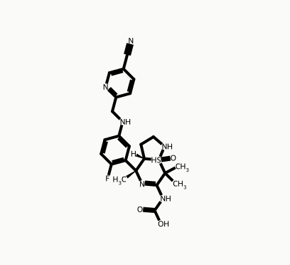 CC1(C)C(NC(=O)O)=N[C@](C)(c2cc(NCc3ccc(C#N)cn3)ccc2F)[C@@H]2CCN[SH]21=O